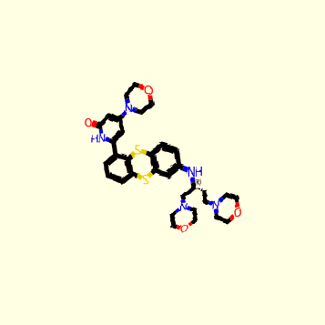 O=c1cc(N2CCOCC2)cc(-c2cccc3c2Sc2ccc(N[C@H](CCN4CCOCC4)CN4CCOCC4)cc2S3)[nH]1